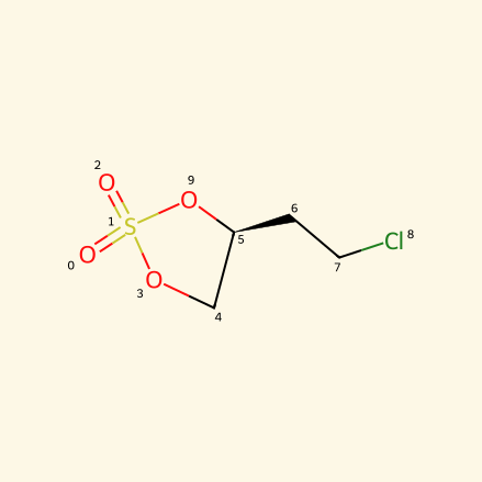 O=S1(=O)OC[C@H](CCCl)O1